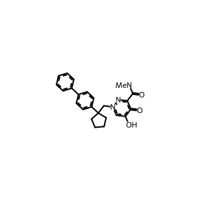 CNC(=O)c1nn(CC2(c3ccc(-c4ccccc4)cc3)CCCC2)cc(O)c1=O